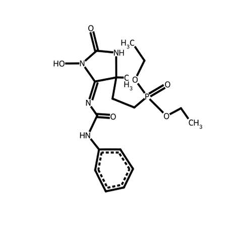 CCOP(=O)(CCC1(C)NC(=O)N(O)C1=NC(=O)Nc1ccccc1)OCC